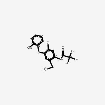 BCc1cc(Oc2ccccc2Cl)c(Cl)cc1NC(=O)C(F)(F)F